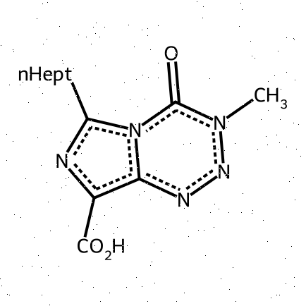 CCCCCCCc1nc(C(=O)O)c2nnn(C)c(=O)n12